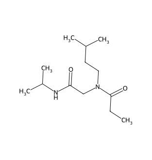 CCC(=O)N(CCC(C)C)CC(=O)NC(C)C